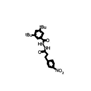 CC(C)(C)c1cc(C(=O)NNC(=O)CCc2ccc([N+](=O)[O-])cc2)cc(C(C)(C)C)c1